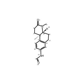 CN1C(=O)CC[C@]2(C)c3ccc(NC=O)cc3CC[C@@H]12